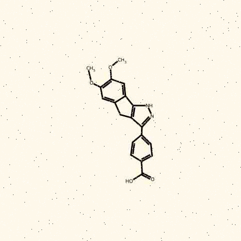 COc1cc2c(cc1OC)-c1[nH]nc(-c3ccc(C(=O)O)cc3)c1C2